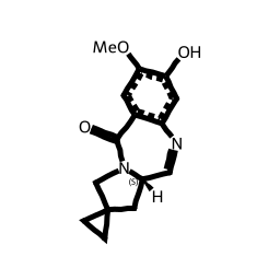 COc1cc2c(cc1O)N=C[C@@H]1CC3(CC3)CN1C2=O